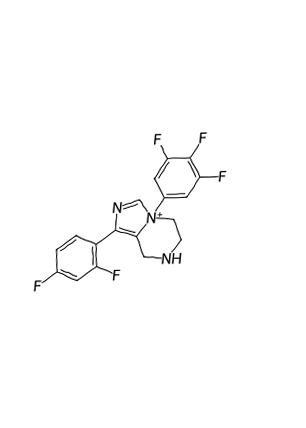 Fc1ccc(C2=C3CNCC[N+]3(c3cc(F)c(F)c(F)c3)C=N2)c(F)c1